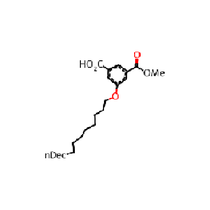 CCCCCCCCCCCCCCCCCCOc1cc(C(=O)O)cc(C(=O)OC)c1